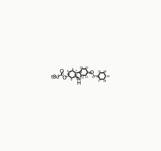 CC(C)(C)C(=O)Oc1ccc2c(c1)[nH]c1cc(OCc3ccccc3)ccc12